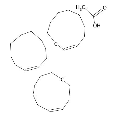 C1=CCCCCCCCC1.C1=CCCCCCCCC1.C1=CCCCCCCCC1.CC(=O)O